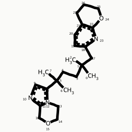 CC(C)(CCC(C)(C)c1cnc2n1CCOC2)Cc1ccc2c(n1)OCCC2